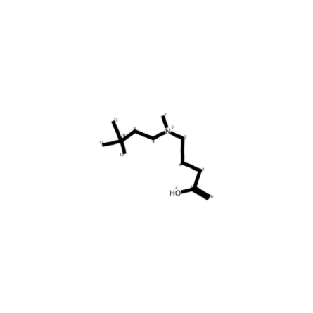 C=C(O)CCCN(C)CCC(C)(C)C